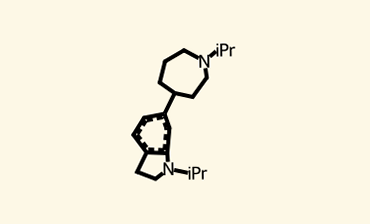 CC(C)N1CCCC(c2ccc3c(c2)N(C(C)C)CC3)CC1